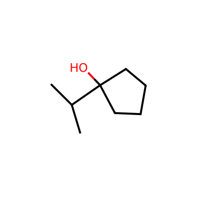 CC(C)C1(O)CCCC1